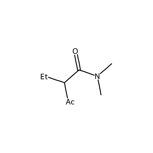 CCC(C(C)=O)C(=O)N(C)C